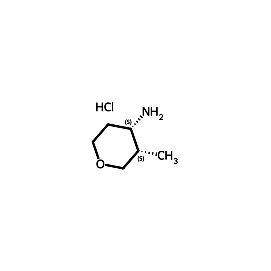 C[C@@H]1COCC[C@@H]1N.Cl